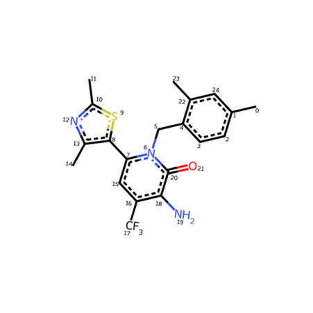 Cc1ccc(Cn2c(-c3sc(C)nc3C)cc(C(F)(F)F)c(N)c2=O)c(C)c1